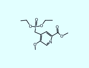 CCOP(=O)(Cc1cc(C(=O)OC)ncc1OC)OCC